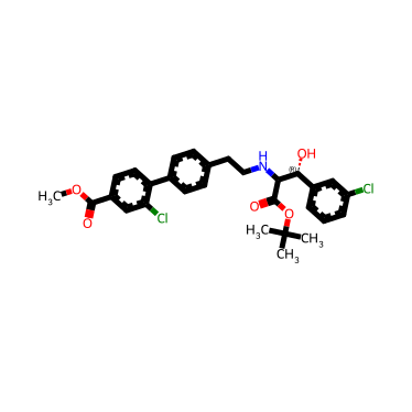 COC(=O)c1ccc(-c2ccc(CCNC(C(=O)OC(C)(C)C)[C@H](O)c3cccc(Cl)c3)cc2)c(Cl)c1